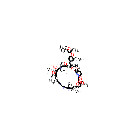 COC1CC(C[C@H](C)[C@@H]2CC(=O)[C@H](C)/C=C(\C)C(O)[C@@H](OC)C(=O)[C@H](C)C[C@H](C)/C=C/C=C/C=C(\C)[C@@H](OC)C[C@@H]3CC[C@@H](C)[C@@](O)(O3)C(=O)C(=O)N3CCCC[C@H]3C(=O)O2)CCC1OC1CC(C)(C)OC1C